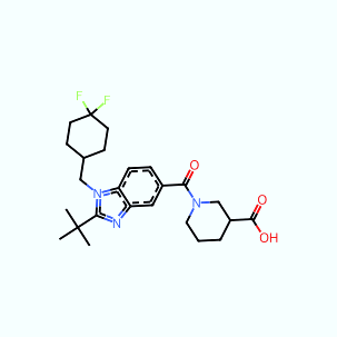 CC(C)(C)c1nc2cc(C(=O)N3CCCC(C(=O)O)C3)ccc2n1CC1CCC(F)(F)CC1